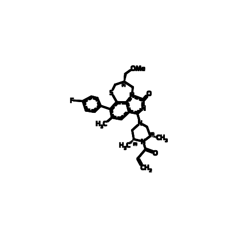 C=CC(=O)N1[C@H](C)CN(c2nc(=O)n3c4c(c(-c5ccc(F)cc5)c(C)cc24)SC[C@@H](COC)C3)C[C@@H]1C